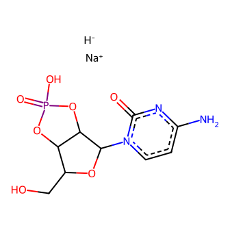 Nc1ccn(C2OC(CO)C3OP(=O)(O)OC32)c(=O)n1.[H-].[Na+]